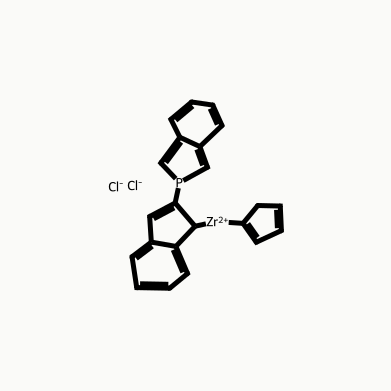 C1=CC[C]([Zr+2][CH]2C(p3cc4ccccc4c3)=Cc3ccccc32)=C1.[Cl-].[Cl-]